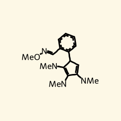 CNC1=CC(c2ccccc2C=NOC)C(NC)=C1NC